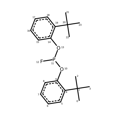 CC(C)(C)c1ccccc1OP(F)Oc1ccccc1C(C)(C)C